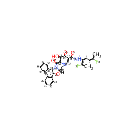 C=C(F)/C(=C\C=C(/C)F)CNC(=O)c1cn2c(c(O)c1=O)C(=O)N1[C@H](C2)O[C@@H](c2ccccc2)[C@H]1c1ccccc1